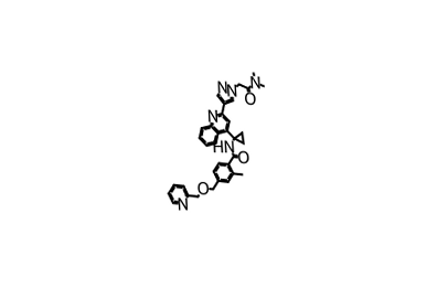 Cc1cc(COCc2ccccn2)ccc1C(=O)NC1(c2cc(-c3cnn(CC(=O)N(C)C)c3)nc3ccccc23)CC1